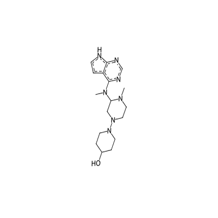 CN1CCN(N2CCC(O)CC2)CC1N(C)c1ncnc2[nH]ccc12